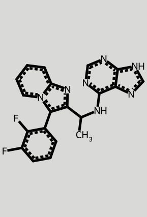 CC(Nc1ncnc2[nH]cnc12)c1nc2ccccn2c1-c1cccc(F)c1F